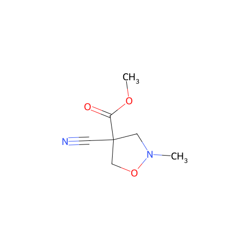 COC(=O)C1(C#N)CON(C)C1